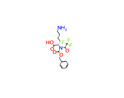 NCCCC[C@@H](C(=O)O)N(C(=O)OCc1ccccc1)C(=O)C(F)(F)F